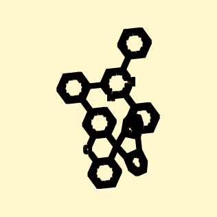 c1ccc(-c2cc(-c3ccccc3-c3ccc4c(c3)Oc3ccccc3C43c4ccccc4-c4ccccc43)nc(-c3ccccc3)n2)cc1